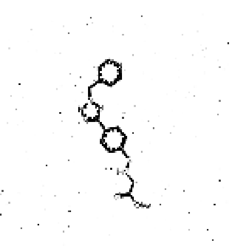 COC(=O)CNSc1ccc(-c2nnn(Cc3ccncc3)n2)cc1